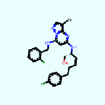 CC(C)c1cnn2c(NCc3ccccc3F)cc(N[C@H](/C=C\CCc3ccc(F)cc3)CO)nc12